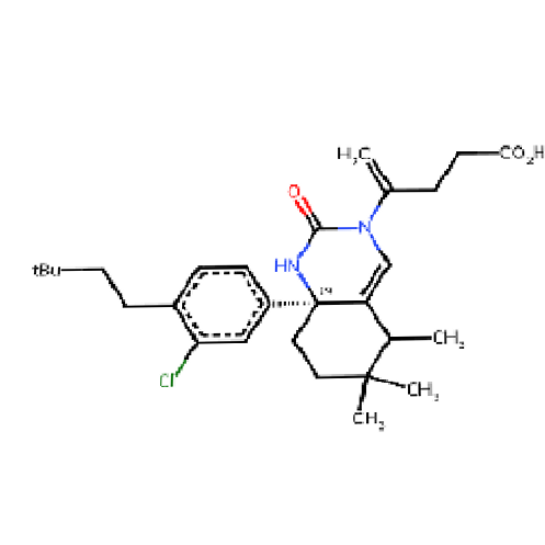 C=C(CCC(=O)O)N1C=C2C(C)C(C)(C)CC[C@@]2(c2ccc(CCC(C)(C)C)c(Cl)c2)NC1=O